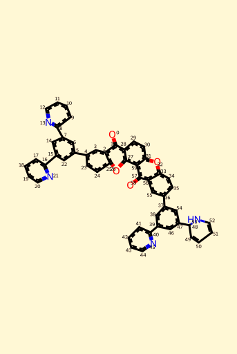 O=c1c2cc(-c3cc(-c4ccccn4)cc(-c4ccccn4)c3)ccc2oc2c1ccc1oc3ccc(-c4cc(-c5ccccn5)cc(C5C=CC=CN5)c4)cc3c(=O)c12